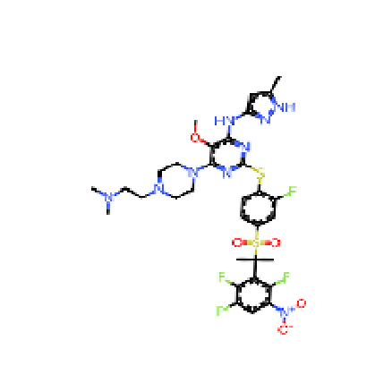 COc1c(Nc2cc(C)[nH]n2)nc(Sc2ccc(S(=O)(=O)C(C)(C)c3c(F)c(F)cc([N+](=O)[O-])c3F)cc2F)nc1N1CCN(CCN(C)C)CC1